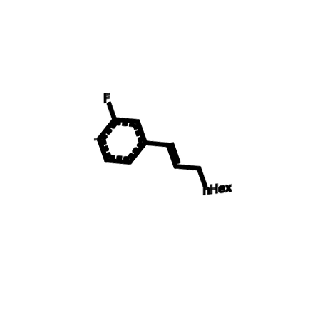 CCCCCCCC=Cc1cc[c]c(F)c1